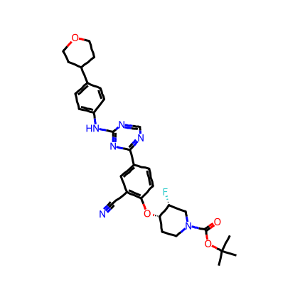 CC(C)(C)OC(=O)N1CC[C@H](Oc2ccc(-c3ncnc(Nc4ccc(C5CCOCC5)cc4)n3)cc2C#N)[C@H](F)C1